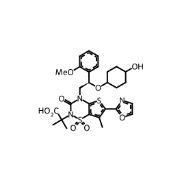 COc1ccccc1[C@H](CN1C(=O)N(C(C)(C)C(=O)O)S(=O)(=O)c2c1sc(-c1ncco1)c2C)OC1CCC(O)CC1